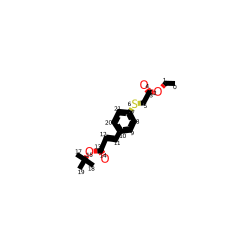 CCOC(=O)CSc1ccc(C=CC(=O)OC(C)(C)C)cc1